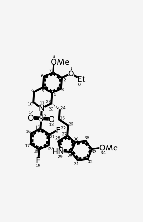 CCOc1cc2c(cc1OC)CCN(S(=O)(=O)c1ccc(F)cc1F)[C@H]2CCCc1c[nH]c2ccc(OC)cc12